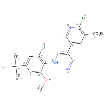 CCOC(=O)c1cc(/C(C=N)=C/Nc2c(Cl)cc(C(F)(C(F)(F)F)C(F)(F)F)cc2OC(F)(F)F)cnc1Cl